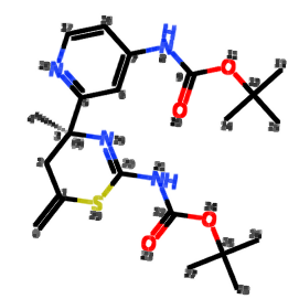 C=C1C[C@@](C)(c2cc(NC(=O)OC(C)(C)C)ccn2)N=C(NC(=O)OC(C)(C)C)S1